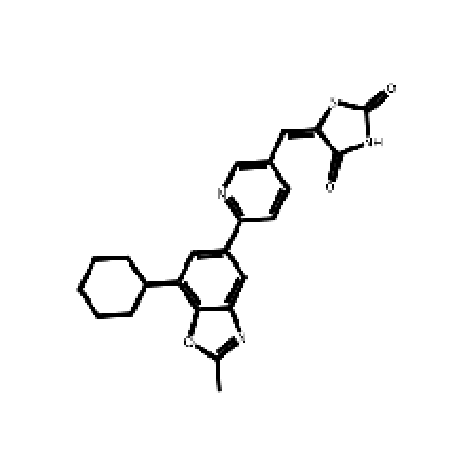 Cc1nc2cc(-c3ccc(C=C4SC(=O)NC4=O)cn3)cc(C3CCCCC3)c2o1